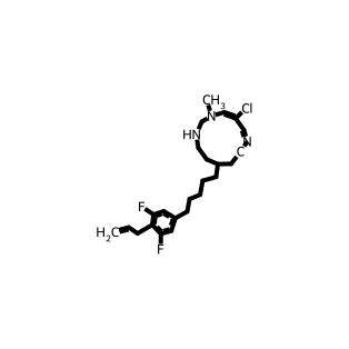 C=CCc1c(F)cc(CCCCCC2CC/N=C\C(Cl)=C/N(C)CNCC2)cc1F